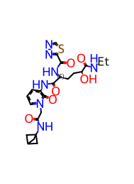 CCNC(=O)C(O)CC[C@H](NC(=O)c1nncs1)C(=O)Nc1cccn(CC(=O)NC23CC(C2)C3)c1=O